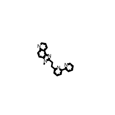 Cn1c(CCc2cccc(-c3ccccn3)n2)nc2c3cccnc3ccc21